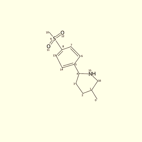 CC1CCC(c2ccc(S(C)(=O)=O)cc2)NC1